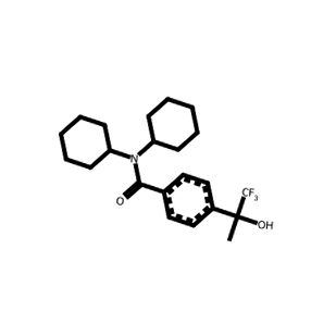 CC(O)(c1ccc(C(=O)N(C2CCCCC2)C2CCCCC2)cc1)C(F)(F)F